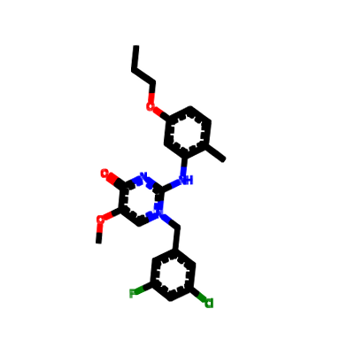 CCCOc1ccc(C)c(Nc2nc(=O)c(OC)cn2Cc2cc(F)cc(Cl)c2)c1